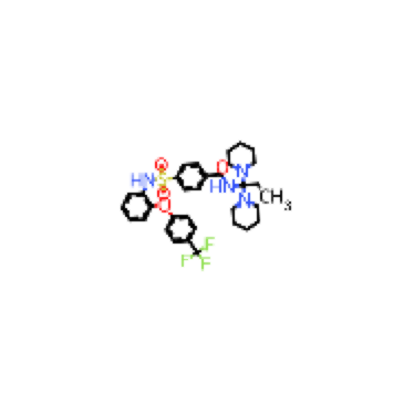 CCC(NC(=O)c1ccc(S(=O)(=O)Nc2ccccc2Oc2ccc(C(F)(F)F)cc2)cc1)(N1CCCCC1)N1CCCCC1